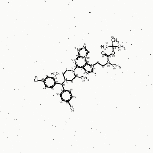 C[C@@H]1CN(c2nc3nncn3c3c2ncn3CCN(C)C(=O)OC(C)(C)C)[C@@H](C)CN1C(c1ccc(Cl)cc1)c1ccc(Cl)cc1